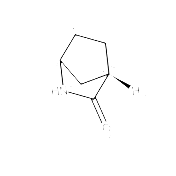 O=C1NC2CC[C@H]1C2